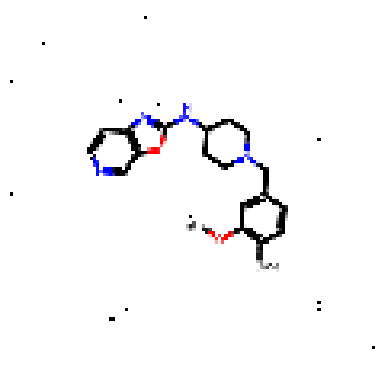 CCCOc1cc(CN2CCC(Nc3nc4ccncc4o3)CC2)ccc1OC